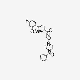 COc1cc(F)ccc1-c1ccc(C(=O)N2CC(N3CCN(C(=O)c4ccccc4)CC3)C2)cc1